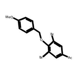 COc1ccc(COc2c(Br)cc(C(C)=O)cc2Br)cc1